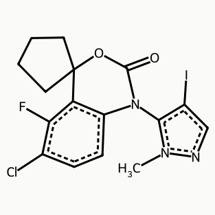 Cn1ncc(I)c1N1C(=O)OC2(CCCC2)c2c1ccc(Cl)c2F